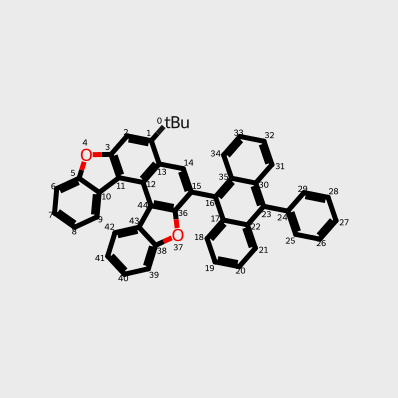 CC(C)(C)c1cc2oc3ccccc3c2c2c1cc(-c1c3ccccc3c(-c3ccccc3)c3ccccc13)c1oc3ccccc3c12